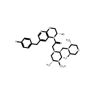 CC(C)[C@H]1COc2ncc(Cc3ccc(F)cc3)cc2N1C(=O)CN1C[C@@H](C)N(C(=O)O)C[C@@H]1CN1[C@H](C)COC[C@H]1C